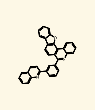 c1cc(-c2ccc3ccccc3n2)cc(-c2nc3ccccc3c3c2ccc2c4ccccc4oc23)c1